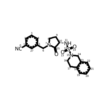 N#Cc1cccc(CN2CC[C@H](NS(=O)(=O)N3CCc4ccccc4C3)C2=O)c1